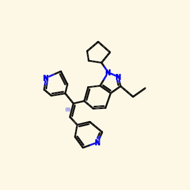 CCc1nn(C2CCCC2)c2cc(/C(=C\c3ccncc3)c3ccncc3)ccc12